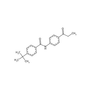 CCC(=O)c1ccc(NC(=O)c2ccc(C(C)(C)C)cc2)cc1